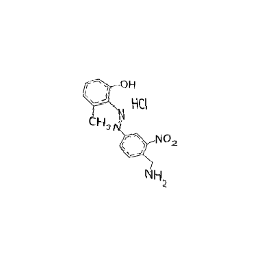 Cc1cccc(O)c1N=Nc1ccc(CN)c([N+](=O)[O-])c1.Cl